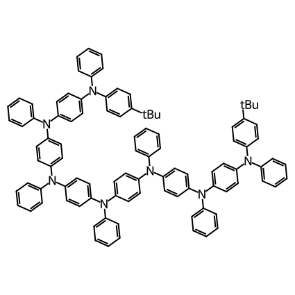 CC(C)(C)c1ccc(N(c2ccccc2)c2ccc(N(c3ccccc3)c3ccc(N(c4ccccc4)c4ccc(N(c5ccccc5)c5ccc(N(c6ccccc6)c6ccc(N(c7ccccc7)c7ccc(N(c8ccccc8)c8ccc(C(C)(C)C)cc8)cc7)cc6)cc5)cc4)cc3)cc2)cc1